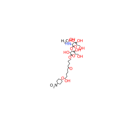 CC(O)NC1C(O)[C@@H](O)C(CO)O[C@@H]1OC1C(O)[C@H](OCCCCC(=O)CCCCC(O)OC2CCC([N+](=O)[O-])CC2)OC(CO)[C@@H]1O